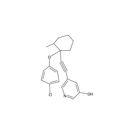 CC1CCCCC1(C#Cc1cncc(O)c1)Oc1ccc(Cl)cc1